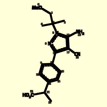 COCC(C)(C)n1nc(-c2ccc(C(C)C(=O)O)cc2)c(C#N)c1N